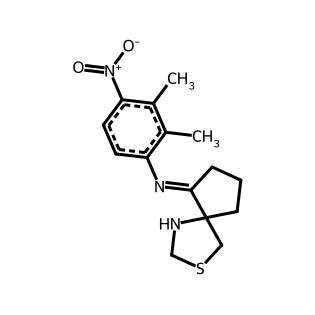 Cc1c(N=C2CCCC23CSCN3)ccc([N+](=O)[O-])c1C